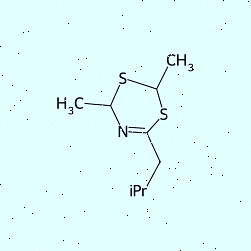 CC(C)CC1=NC(C)SC(C)S1